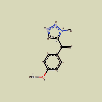 C=C(c1ccc(OCCCC)cc1)c1cnnn1C